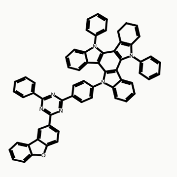 C1=Cc2c(c3c(c4c5ccccc5n(-c5ccc(-c6nc(-c7ccccc7)nc(-c7ccc8oc9ccccc9c8c7)n6)cc5)c4c4c5ccccc5n(-c5ccccc5)c34)n2-c2ccccc2)CC1